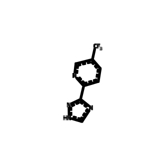 FC(F)(F)c1ccc(-c2nc[nH]n2)nc1